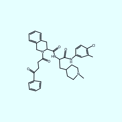 Cc1cc(NC(=O)C(CC2CCN(C)CC2)NC(=O)C2Cc3ccccc3CN2C(=O)CCC(=O)c2ccccc2)ccc1Cl